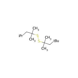 CC(C)CC(C)(C)SSC(C)(C)CC(C)(C)C